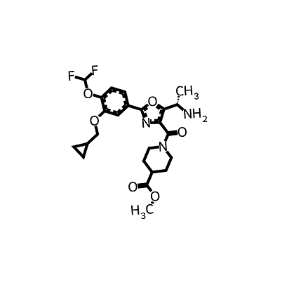 COC(=O)C1CCN(C(=O)c2nc(-c3ccc(OC(F)F)c(OCC4CC4)c3)oc2[C@H](C)N)CC1